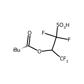 CC[C@@H](C)C(=O)OC(C(F)(F)F)C(F)(F)S(=O)(=O)O